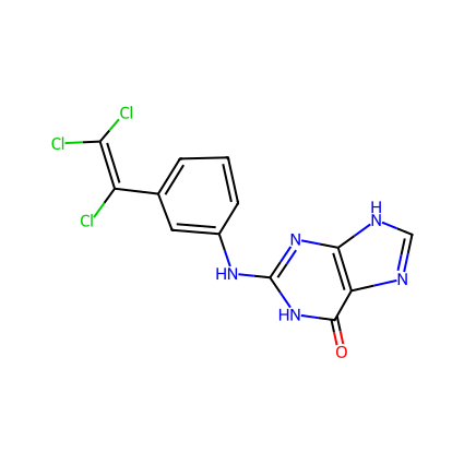 O=c1[nH]c(Nc2cccc(C(Cl)=C(Cl)Cl)c2)nc2[nH]cnc12